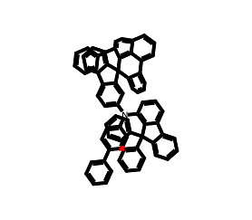 c1ccc(-c2ccc(N(c3ccc4c(c3)C3(c5ccccc5-4)c4ccccc4-c4cccc5ccc(-c6ccccc6)c3c45)c3cccc4c3C(c3ccccc3)(c3ccccc3)c3ccccc3-4)cc2)cc1